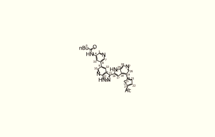 CCCCC(=O)Nc1cncc(-c2cnc3[nH]nc(-c4cc5c(-c6ccc(C(C)=O)s6)cncc5[nH]4)c3c2)c1